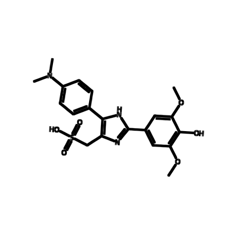 COc1cc(-c2nc(CS(=O)(=O)O)c(-c3ccc(N(C)C)cc3)[nH]2)cc(OC)c1O